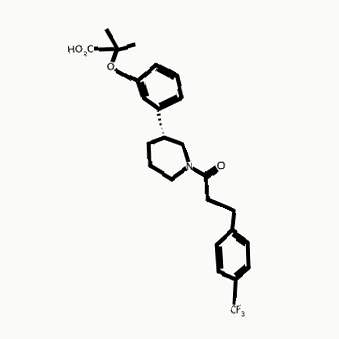 CC(C)(Oc1cccc([C@H]2CCCN(C(=O)CCc3ccc(C(F)(F)F)cc3)C2)c1)C(=O)O